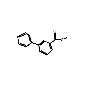 COC(=O)c1cc[c]c(-c2ccccc2)c1